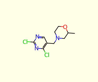 CC1CN(Cc2cnc(Cl)nc2Cl)CCO1